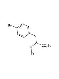 CCOC(=O)C(Cc1ccc(Br)cc1)OCC